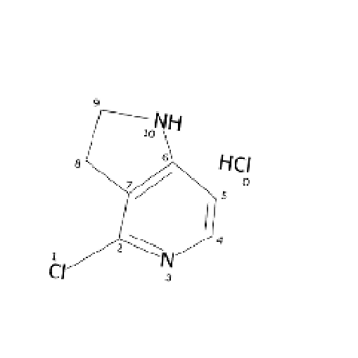 Cl.Clc1nccc2c1CCN2